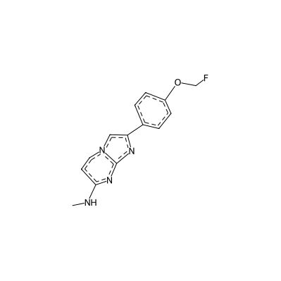 CNc1ccn2cc(-c3ccc(OCF)cc3)nc2n1